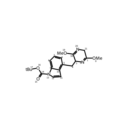 COC1=NC(Cc2cccc3c2ccn3C(=O)OC(C)(C)C)C(OC)=NC1